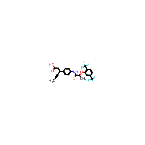 CC#CC(CC(=O)O)c1ccc(NC(=O)C(C)Oc2cc(C(F)(F)F)ccc2C(F)(F)F)cc1